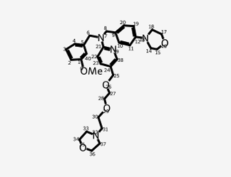 COc1cccc(CN(Cc2ccc(N3CCOCC3)cc2)c2ccc(COCCOCCN3CCOCC3)cn2)c1